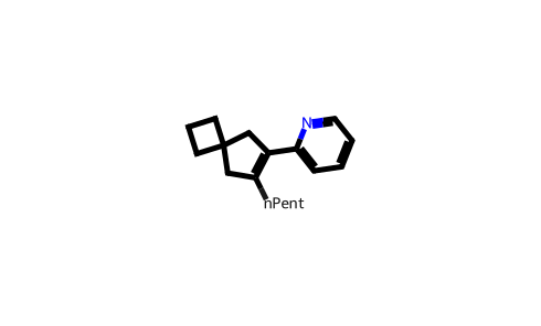 CCCCCC1=C(c2ccccn2)CC2(CCC2)C1